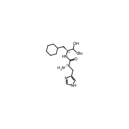 CC(C)(C)C(O)[C@H](CC1CCCCC1)NC(=O)[C@@H](N)Cc1c[nH]cn1